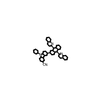 N#Cc1ccc2c(c1)c1cc(-c3ccc4c(-c5ccc6ccccc6n5)c5ccccc5c(-c5ccc6ccccc6n5)c4c3)ccc1n2-c1ccccc1